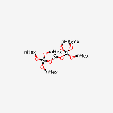 CCCCCCO[Si](OCCCCCC)(OCCCCCC)O[Si]O[Si](OCCCCCC)(OCCCCCC)OCCCCCC